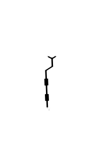 CCCC#CC#CCCC(O)O